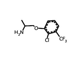 CC(N)COc1cccc(C(F)(F)F)c1Cl